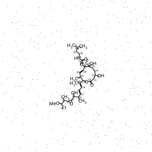 CCC(OC)C(C)C1OC1C(O)C(C)/C=C/C=C(\C)C1OC(=O)CC(O)CCC(C)(O)C(OC(=O)NCCN(C)C)/C=C/C1C